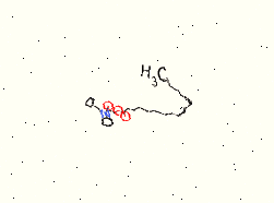 CCCCC/C=C\C/C=C\CCCCCCCC(=O)OCC(=O)N(CCc1ccccc1)c1ccccc1